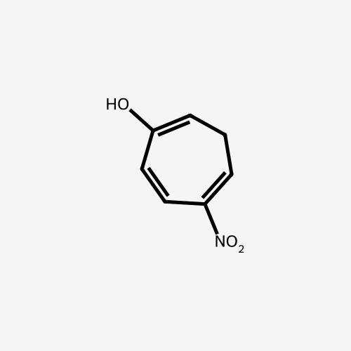 O=[N+]([O-])C1=CCC=C(O)C=C1